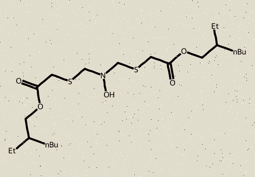 CCCCC(CC)COC(=O)CSCN(O)CSCC(=O)OCC(CC)CCCC